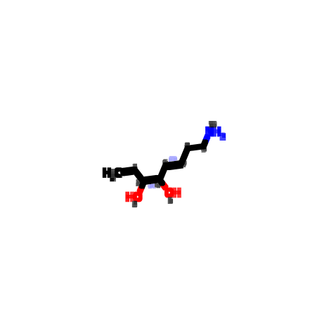 C=C/C(O)=C(O)\C=C\CCN